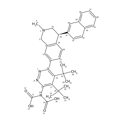 CN1Cc2cc(-c3nnc(N(C(=O)O)C(=O)O)c(C(C)(C)C)c3C(C)(C)C)ccc2[C@H](c2ccc3ccccc3c2)C1